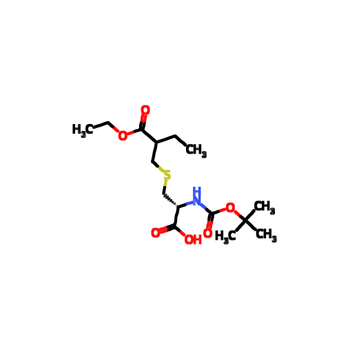 CCOC(=O)C(CC)CSC[C@H](NC(=O)OC(C)(C)C)C(=O)O